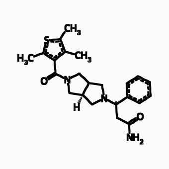 Cc1sc(C)c(C(=O)N2CC3CN([C](CC(N)=O)c4ccccc4)C[C@H]3C2)c1C